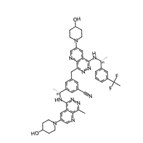 Cc1nnc(N[C@H](C)c2cc(C#N)cc(Cc3nnc(N[C@H](C)c4cccc(C(C)(F)F)c4)c4cc(N5CCC(O)CC5)cnc34)c2)c2cc(N3CCC(O)CC3)cnc12